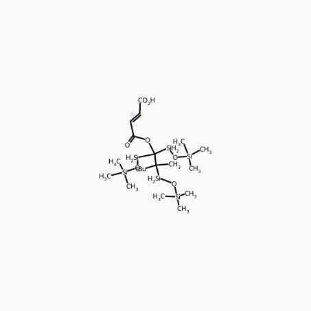 CC(C)(C)C(C)([SiH2]O[Si](C)(C)C)C(OC(=O)/C=C/C(=O)O)([SiH2]O[Si](C)(C)C)[SiH2]O[Si](C)(C)C